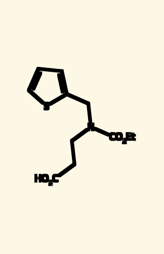 CCOC(=O)N(CCC(=O)O)Cc1cccs1